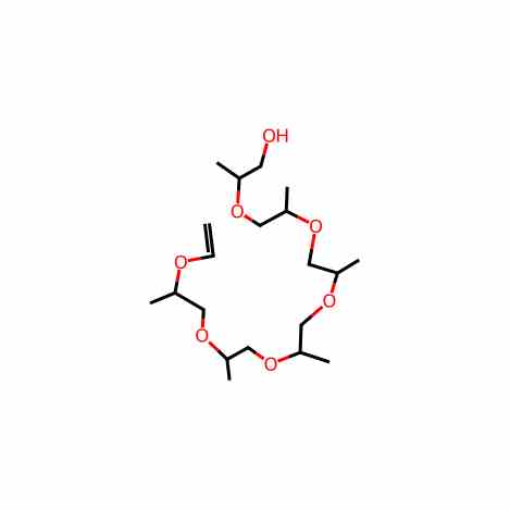 C=COC(C)COC(C)COC(C)COC(C)COC(C)COC(C)CO